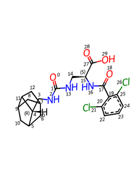 O=C(NC[C@@H]1C2CC3CC(C2)C1C3)NC[C@H](NC(=O)c1c(Cl)cccc1Cl)C(=O)O